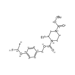 CCC1CN(C(=O)OC(C)(C)C)CCN1C(=O)OCc1ccc(OC(F)F)cc1